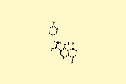 O=C(NCc1ccc(Cl)cc1)c1cnc2c(F)ccc(F)c2c1O